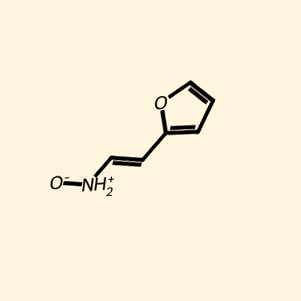 [O-][NH2+]C=Cc1ccco1